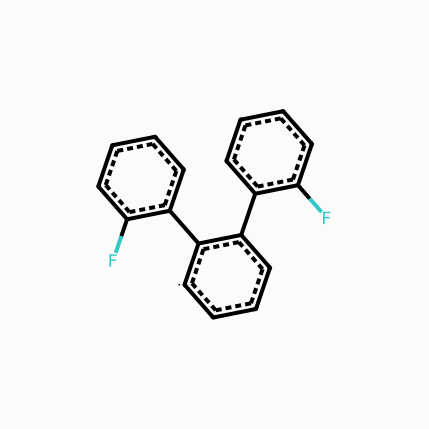 Fc1ccccc1-c1[c]cccc1-c1ccccc1F